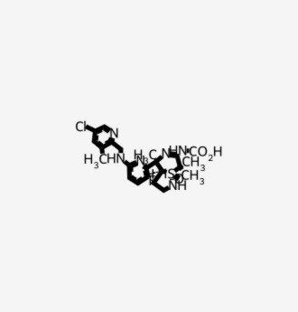 Cc1cc(Cl)cnc1CNc1ccc(F)c([C@@]2(C)N=C(NC(=O)O)C(C)(C)[SH]3(=O)NCC[C@@H]23)n1